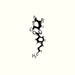 CCCCC1CCC(C(=O)Oc2cc(F)c(F)nc2Cl)CC1